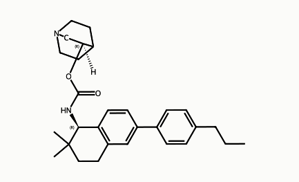 CCCc1ccc(-c2ccc3c(c2)CCC(C)(C)[C@H]3NC(=O)O[C@H]2CN3CCC2CC3)cc1